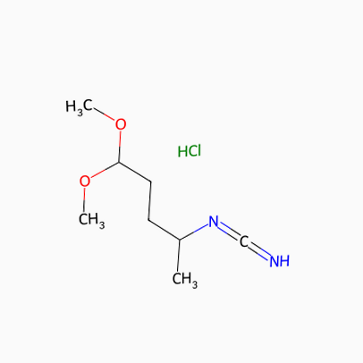 COC(CCC(C)N=C=N)OC.Cl